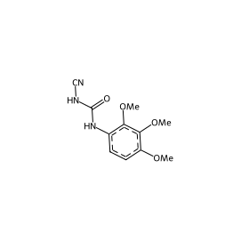 COc1ccc(NC(=O)NC#N)c(OC)c1OC